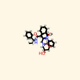 CC[C@H](NC(=O)c1c(CN2CCCC(O)C2)n(-c2ccccc2)c(=O)c2ccccc12)c1ccccc1